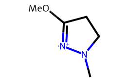 COC1=[N+]N(C)CC1